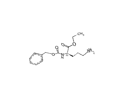 CCOC(=O)[C@@H](CCCN)NC(=O)OCc1ccccc1